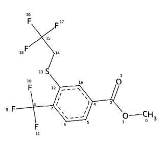 COC(=O)c1ccc(C(F)(F)F)c(SCC(F)(F)F)c1